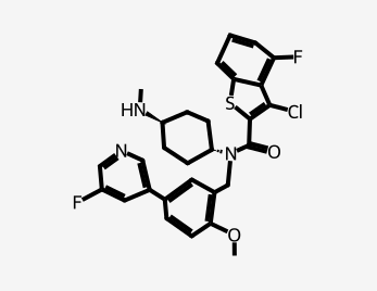 CN[C@H]1CC[C@H](N(Cc2cc(-c3cncc(F)c3)ccc2OC)C(=O)c2sc3cccc(F)c3c2Cl)CC1